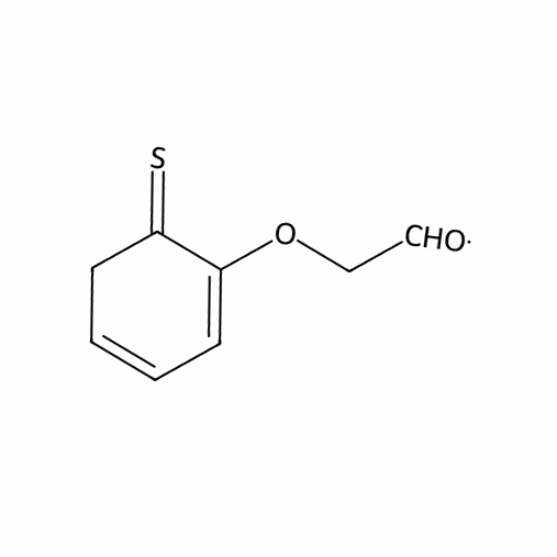 O=[C]COC1=CC=CCC1=S